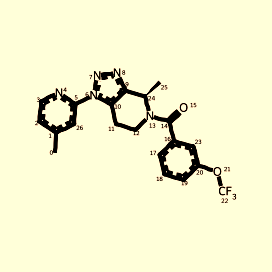 Cc1ccnc(-n2nnc3c2CCN(C(=O)c2cccc(OC(F)(F)F)c2)[C@@H]3C)c1